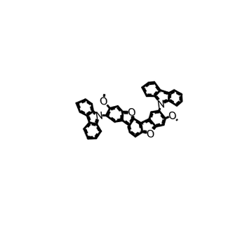 COc1cc2oc3c(ccc4oc5cc(OC)c(-n6c7ccccc7c7ccccc76)cc5c43)c2cc1-n1c2ccccc2c2ccccc21